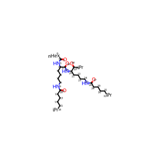 CCCCCCC(=O)NC(CCCCNC(=O)CCCCC(C)C)C(=O)NC(CCCCNC(=O)CCCCC(C)C)C(=O)C(C)C